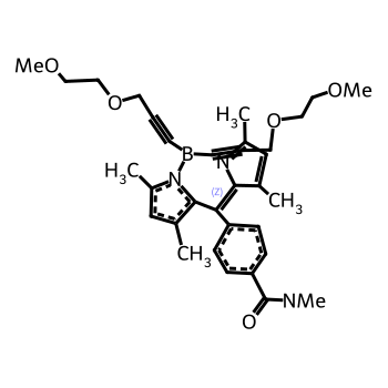 CNC(=O)c1ccc(/C(=C2/N=C(C)C=C2C)c2c(C)cc(C)n2B(C#CCOCCOC)C#CCOCCOC)cc1